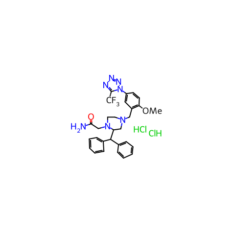 COc1ccc(-n2nnnc2C(F)(F)F)cc1CN1CCN(CC(N)=O)C(C(c2ccccc2)c2ccccc2)C1.Cl.Cl